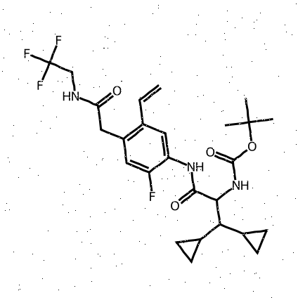 C=Cc1cc(NC(=O)C(NC(=O)OC(C)(C)C)C(C2CC2)C2CC2)c(F)cc1CC(=O)NCC(F)(F)F